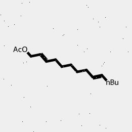 CCCCC=CCCCCC/C=C/COC(C)=O